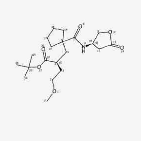 COCC[C@H](CC1(C(=O)N[C@H]2COC(=O)C2)CCCC1)C(=O)OC(C)(C)C